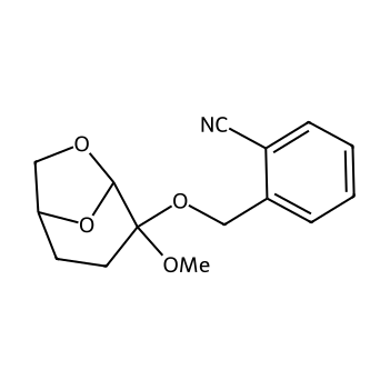 COC1(OCc2ccccc2C#N)CCC2COC1O2